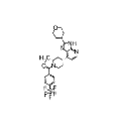 C[C@@H]1C[C@H](c2ccnc3[nH]c(C4CCOCC4)nc23)CCN1C(=O)c1ccc(S(F)(F)(F)(F)F)cc1